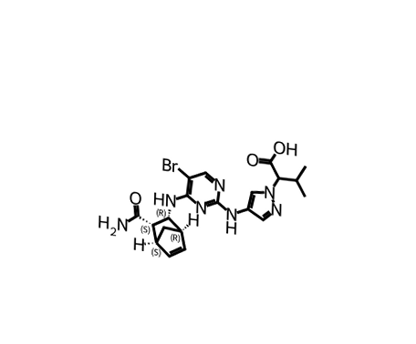 CC(C)C(C(=O)O)n1cc(Nc2ncc(Br)c(N[C@H]3[C@@H](C(N)=O)[C@@H]4C=C[C@H]3C4)n2)cn1